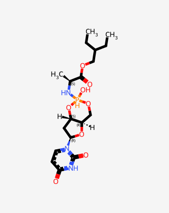 CCC(CC)COC(=O)[C@H](C)N[PH]1(O)OC[C@H]2O[C@@H](n3ccc(=O)[nH]c3=O)C[C@@H]2O1